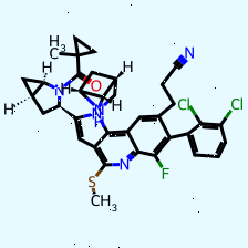 CSc1nc2c(F)c(-c3cccc(Cl)c3Cl)c(CCC#N)cc2c2c1cc([C@H]1C[C@H]3C[C@H]3N1C(=O)C1(C)CC1)n2[C@H]1[C@H]2CN[C@@H]1C2